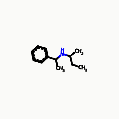 CC[C@H](C)NC(C)c1ccccc1